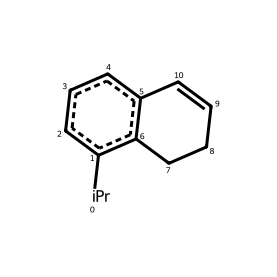 CC(C)c1cccc2c1CCC=C2